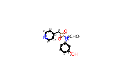 O=[C]N(c1cccc(O)c1)S(=O)(=O)Cc1ccncc1